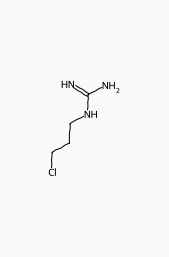 N=C(N)NCCCCl